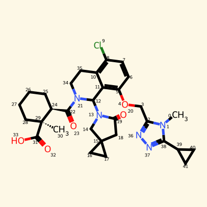 Cn1c(COc2ccc(Cl)c3c2C(N2CC4(CC4)CC2=O)N(C(=O)[C@@H]2CCCC[C@]2(C)C(=O)O)CC3)nnc1C1CC1